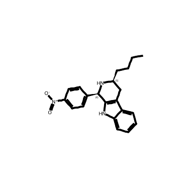 CCCC[C@H]1Cc2c([nH]c3ccccc23)[C@@H](c2ccc([N+](=O)[O-])cc2)N1